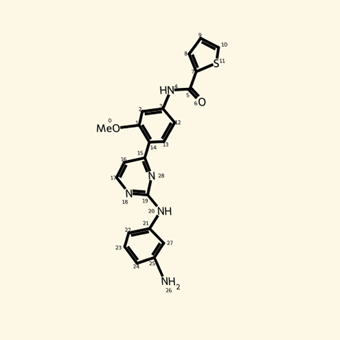 COc1cc(NC(=O)c2cccs2)ccc1-c1ccnc(Nc2cccc(N)c2)n1